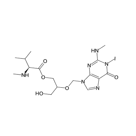 CNc1nc2c(ncn2COC(CO)COC(=O)[C@@H](NC)C(C)C)c(=O)n1I